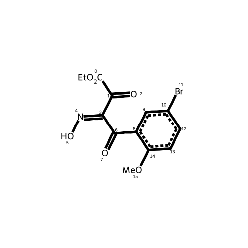 CCOC(=O)C(=O)/C(=N/O)C(=O)c1cc(Br)ccc1OC